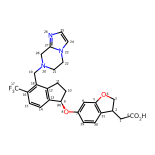 O=C(O)CC1COc2cc(O[C@@H]3CCc4c3ccc(C(F)(F)F)c4CN3CCn4ccnc4C3)ccc21